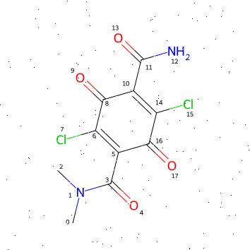 CN(C)C(=O)C1=C(Cl)C(=O)C(C(N)=O)=C(Cl)C1=O